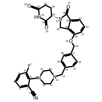 N#Cc1cccc(F)c1N1CCN(Cc2ccc(COc3cccc4c3CN([C@H]3CCC(=O)NC3=O)C4=O)cc2)CC1